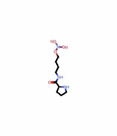 O=C(NCCCCON(O)O)C1CCCN1